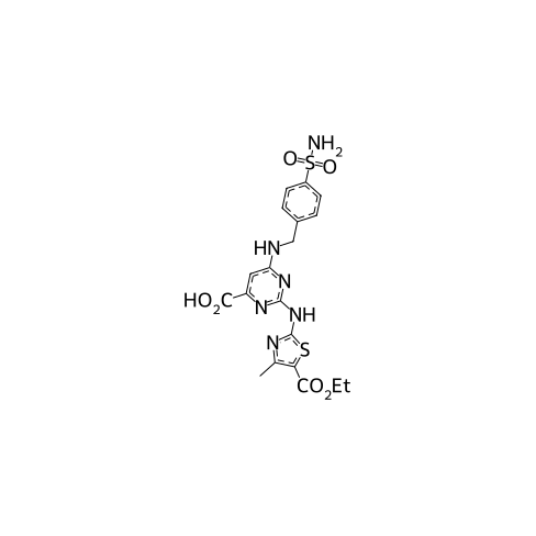 CCOC(=O)c1sc(Nc2nc(NCc3ccc(S(N)(=O)=O)cc3)cc(C(=O)O)n2)nc1C